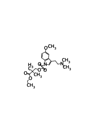 CCOC(=O)C(C)(C)COS(=O)(=O)n1cc(CCN(C)C)c2cc(OC)ccc21